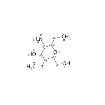 CCC1OC(CO)C(CC)C(O)C1N